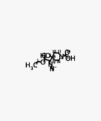 CCOC(=O)C(=[N+]=[N-])C1(O)CCN(C(=O)O)CC1